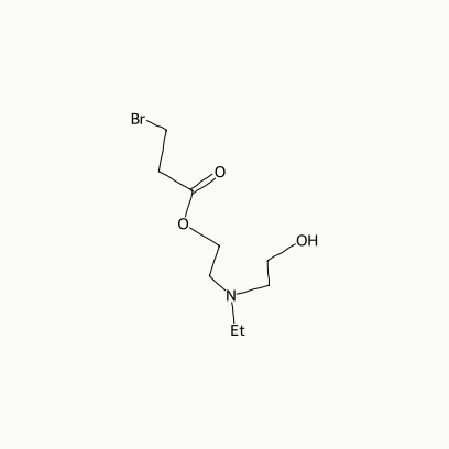 CCN(CCO)CCOC(=O)CCBr